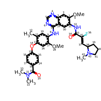 COc1cc2ncnc(Nc3cc(C)c(Oc4ccc(C(=O)N(C)C)cc4)cc3OC)c2cc1NC(=O)C(F)=CC1CCCN1C